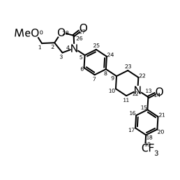 COCC1CN(c2ccc(C3CCN(C(=O)c4ccc(C(F)(F)F)cc4)CC3)cc2)C(=O)O1